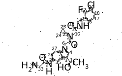 CC(O)c1cn(CC(=O)N(CC(=O)NCc2cccc(Cl)c2F)C2CC2)c2ccc(NC(=O)CN)cc12